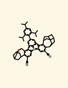 CC(C)c1cc(C(C)C)c(-c2cc3c4c5c(c(C#N)cc4n4c6cc(C#N)c7c(c6c(c2)c34)C2CC3CC4CC7CC43C2)C2CC3CC(C2)CC5C3)c(C(C)C)c1